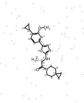 COc1nc(-c2nnc(N[C@@H](C)C(=O)N3CCC4(CC3)CC4)o2)ccc1C1CC1